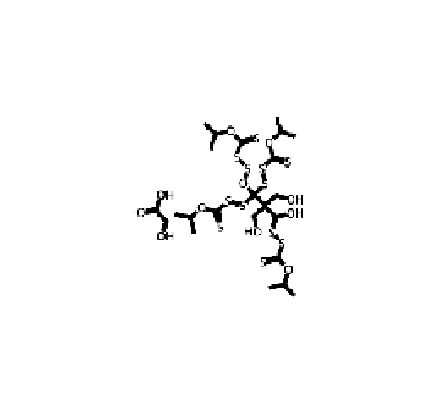 CC(C)OC(=S)SSOC(SSC(=S)OC(C)C)(SSC(=S)OC(C)C)C(CO)(CO)C(O)SSC(=S)OC(C)C.O=C(O)CO